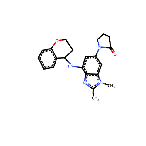 Cc1nc2c(NC3CCOc4ccccc43)cc(N3CCCC3=O)cc2n1C